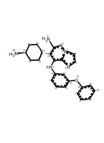 Nc1nn2ccnc2c(Nc2cccc(Oc3ccccc3)c2)c1[C@H]1CC[C@H](N)CC1